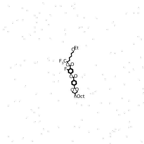 CCCCCCCCC1COC(c2ccc(C(=O)Oc3ccc(C(=O)OC(CCCCCOCC)C(F)(F)F)c(F)c3)cc2)OC1